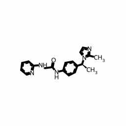 Cc1nccn1[C@@H](C)c1ccc(NC(=O)CNc2ccccn2)cc1